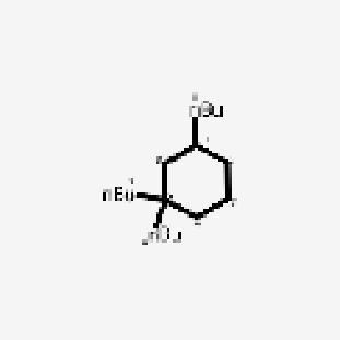 CCCCC1CCCC(CCCC)(CCCC)C1